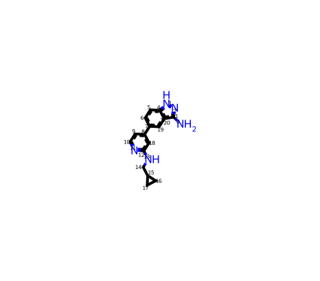 Nc1n[nH]c2ccc(-c3ccnc(NCC4CC4)c3)cc12